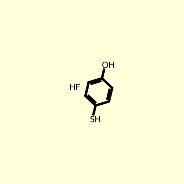 F.Oc1ccc(S)cc1